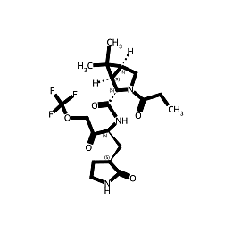 CCC(=O)N1C[C@H]2[C@@H]([C@H]1C(=O)N[C@@H](C[C@@H]1CCNC1=O)C(=O)COC(F)(F)F)C2(C)C